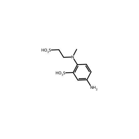 CN(CCS(=O)(=O)O)c1ccc(N)cc1S(=O)(=O)O